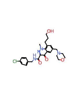 Cn1nc(C(=O)NCc2ccc(Cl)cc2)c(=O)c2cc(CN3CCOCC3)cc(CCCO)c21